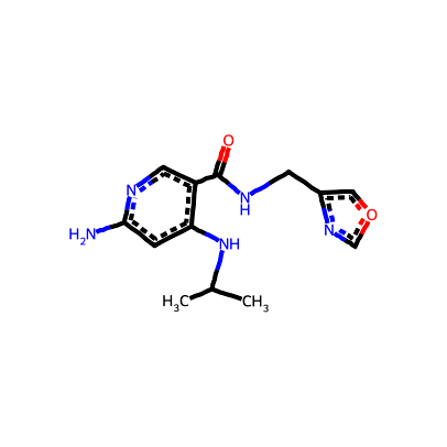 CC(C)Nc1cc(N)ncc1C(=O)NCc1cocn1